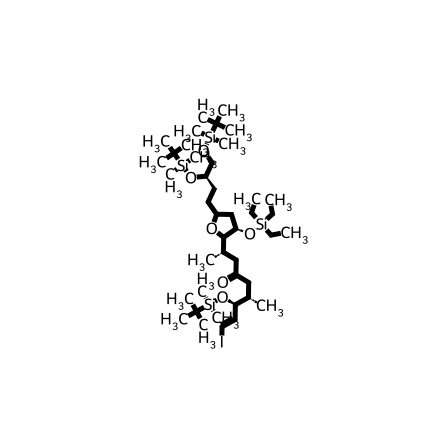 CC[Si](CC)(CC)O[C@H]1CC(CC[C@H](CO[Si](C)(C)C(C)(C)C)O[Si](C)(C)C(C)(C)C)OC1[C@@H](C)CC(=O)C[C@H](C)[C@@H](/C=C/I)O[Si](C)(C)C(C)(C)C